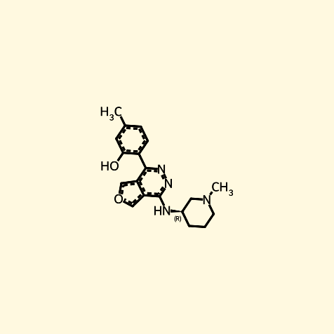 Cc1ccc(-c2nnc(N[C@@H]3CCCN(C)C3)c3cocc23)c(O)c1